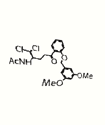 COc1cc(COc2ccccc2C(=O)CCC(NC(C)=O)C(Cl)Cl)cc(OC)c1